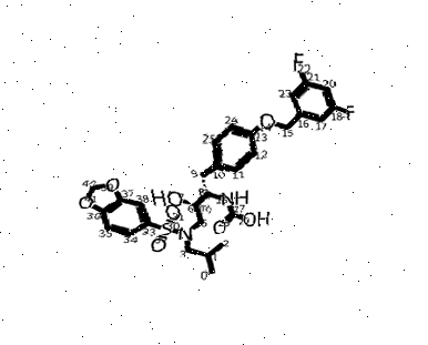 CC(C)CN(C[C@@H](O)[C@H](Cc1ccc(OCc2cc(F)cc(F)c2)cc1)NC(=O)O)S(=O)(=O)c1ccc2c(c1)OCO2